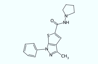 Cc1nn(-c2ccccc2)c2sc(C(=O)NN3CCCC3)cc12